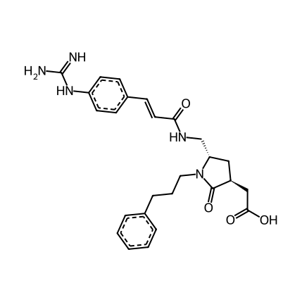 N=C(N)Nc1ccc(/C=C/C(=O)NC[C@@H]2C[C@@H](CC(=O)O)C(=O)N2CCCc2ccccc2)cc1